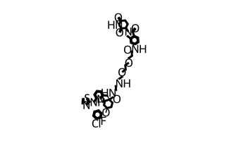 O=C1CCC(N2Cc3cc(NC(=O)CCOCCOCCNCCNC(=O)[C@]4(Cc5cccc(Nc6nccs6)n5)CC[C@@H](Oc5cccc(Cl)c5F)CC4)ccc3C2=O)C(=O)N1